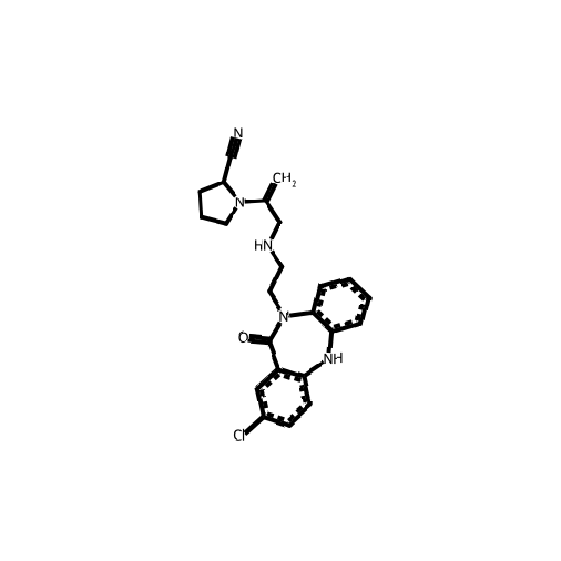 C=C(CNCCN1C(=O)c2cc(Cl)ccc2Nc2ccccc21)N1CCCC1C#N